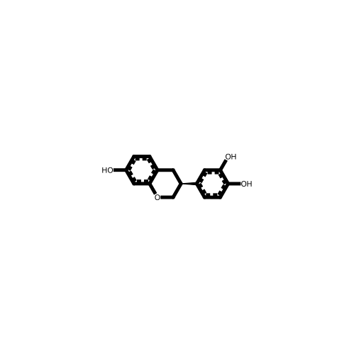 Oc1ccc2c(c1)OC[C@H](c1ccc(O)c(O)c1)C2